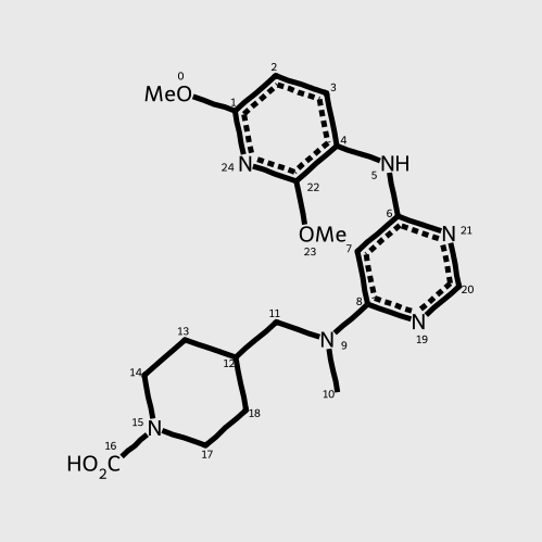 COc1ccc(Nc2cc(N(C)CC3CCN(C(=O)O)CC3)ncn2)c(OC)n1